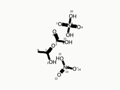 CC(=O)O.O=CO.O=S(=O)(O)O.O=[N+]([O-])O